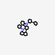 c1ccc(-c2cccc(-n3c4ccccc4c4c5c(ccc43)-c3cccc4cccc(c34)N5c3ccccc3)c2)cc1